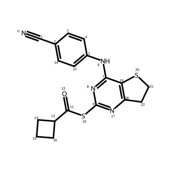 N#Cc1ccc(Nc2nc(SC(=O)C3CCC3)nc3c2SCC3)cc1